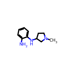 CN1CCC(Nc2ccccc2N)C1